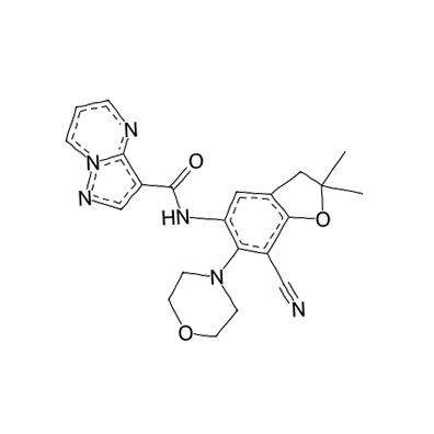 CC1(C)Cc2cc(NC(=O)c3cnn4cccnc34)c(N3CCOCC3)c(C#N)c2O1